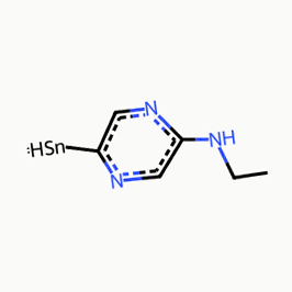 CCNc1cn[c]([SnH])cn1